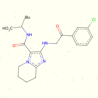 CCC(C)C(NC(=O)c1c(NCC(=O)c2cccc(Cl)c2)nc2n1CCCC2)C(=O)O